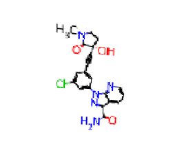 CN1CC[C@@](O)(C#Cc2cc(Cl)cc(-n3nc(C(N)=O)c4cccnc43)c2)C1=O